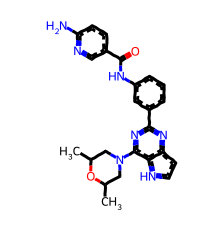 CC1CN(c2nc(-c3cccc(NC(=O)c4ccc(N)nc4)c3)nc3cc[nH]c23)CC(C)O1